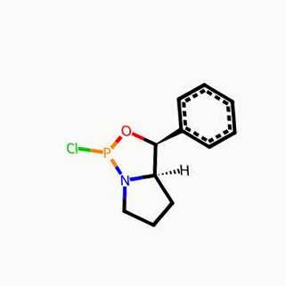 ClP1O[C@@H](c2ccccc2)[C@H]2CCCN21